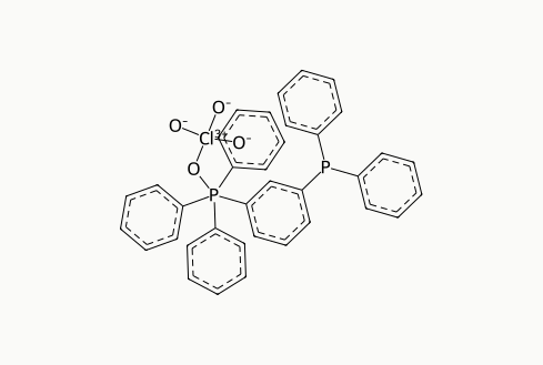 [O-][Cl+3]([O-])([O-])OP(c1ccccc1)(c1ccccc1)(c1ccccc1)c1cccc(P(c2ccccc2)c2ccccc2)c1